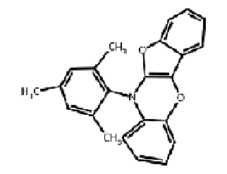 Cc1cc(C)c(N2c3ccccc3Oc3c2oc2ccccc32)c(C)c1